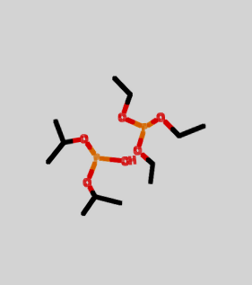 CC(C)OP(O)OC(C)C.CCOP(OCC)OCC